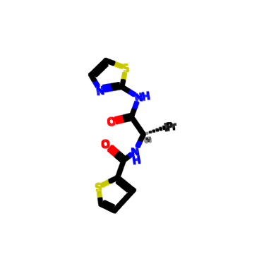 CC(C)[C@H](NC(=O)c1cccs1)C(=O)Nc1nccs1